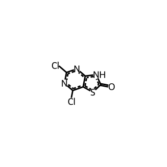 O=c1[nH]c2nc(Cl)nc(Cl)c2s1